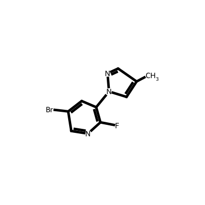 Cc1cnn(-c2cc(Br)cnc2F)c1